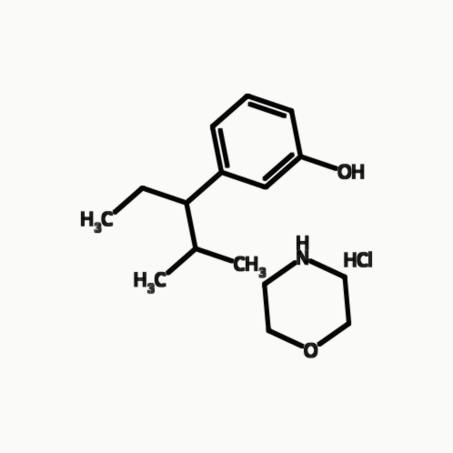 C1COCCN1.CCC(c1cccc(O)c1)C(C)C.Cl